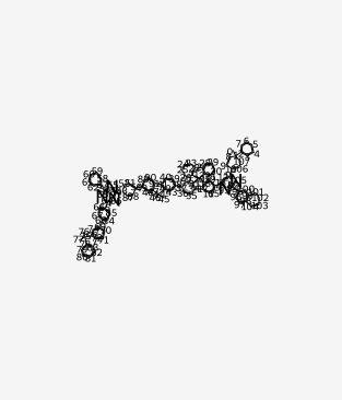 CC1(c2ccccc2)C=CC(c2cc(-c3ccc4c(c3)C3(C5=C(C=CCC5)c5ccccc53)C3=C4C=CC(c4ccc5c(c4)C(C)(C)c4cc(C6=CC[C@@H](c7nc(-c8ccccc8)nc(-c8ccc(-c9ccc%10c(c9)C(C)(C)c9ccccc9-%10)cc8)n7)C=C6)ccc4-5)C3)nc(-c3ccc4c(c3)CCC=C4)n2)=CC1